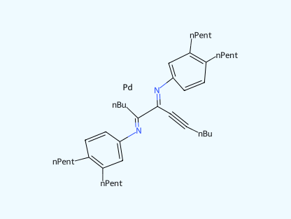 CCCCC#CC(=N\c1ccc(CCCCC)c(CCCCC)c1)/C(CCCC)=N/c1ccc(CCCCC)c(CCCCC)c1.[Pd]